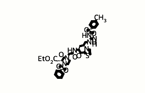 CCOC(=O)C[C@@H]1C(=O)N(CC(=O)N[C@@H](CCCNC(=N)NS(=O)(=O)c2ccc(C)cc2)C(=O)c2nccs2)CCN1S(=O)(=O)c1ccccc1